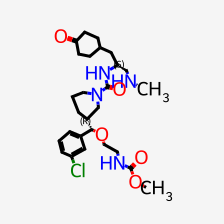 CNC[C@H](CC1CCC(=O)CC1)NC(=O)N1CCC[C@@H](C(OCCNC(=O)OC)c2cccc(Cl)c2)C1